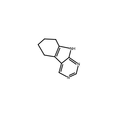 c1ncc2c3c([nH]c2n1)CCCC3